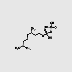 CC(C)CCCC(C)CCOP(=O)(O)OP(=O)(O)O